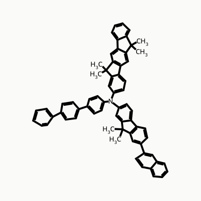 CC1(C)c2cc(-c3ccc4ccccc4c3)ccc2-c2ccc(N(c3ccc(-c4ccc(-c5ccccc5)cc4)cc3)c3ccc4c(c3)C(C)(C)c3cc5c(cc3-4)C(C)(C)c3ccccc3-5)cc21